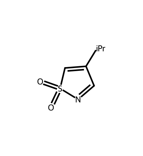 CC(C)C1=CS(=O)(=O)N=C1